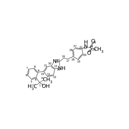 CC(C)(O)c1ccccc1-c1ccc2[nH]c(CCc3ccc(NS(C)(=O)=O)cc3)nc2c1